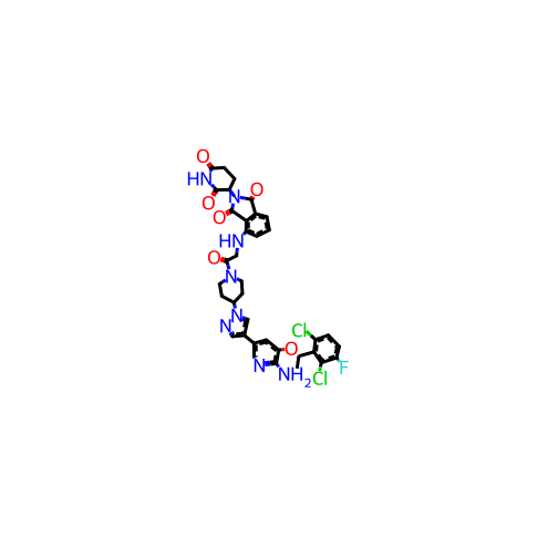 CC(Oc1cc(-c2cnn(C3CCN(C(=O)CNc4cccc5c4C(=O)N(C4CCC(=O)NC4=O)C5=O)CC3)c2)cnc1N)c1c(Cl)ccc(F)c1Cl